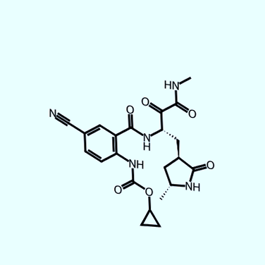 CNC(=O)C(=O)[C@H](C[C@@H]1C[C@@H](C)NC1=O)NC(=O)c1cc(C#N)ccc1NC(=O)OC1CC1